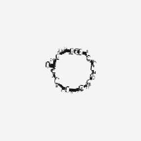 O=C1CCCCCCCCCCCCCCCCCCCCCCCC1